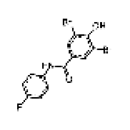 O=C(Nc1ccc(F)cc1)c1cc(Br)c(O)c(Br)c1